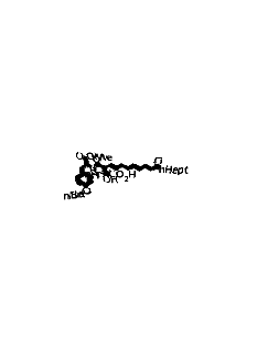 CCCCCCCC(=O)CCCCCCC=C[C@H](C(=O)N[C@@H](Cc1ccc(OCCCC)cc1)C(=O)OC)[C@@](O)(CCC)C(=O)O